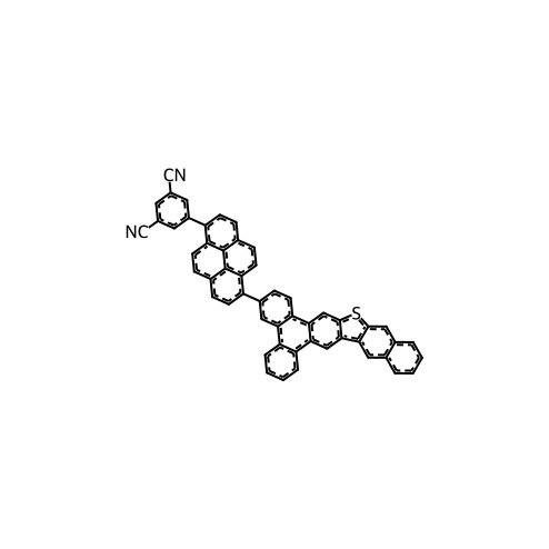 N#Cc1cc(C#N)cc(-c2ccc3ccc4c(-c5ccc6c(c5)c5ccccc5c5cc7c(cc65)sc5cc6ccccc6cc57)ccc5ccc2c3c54)c1